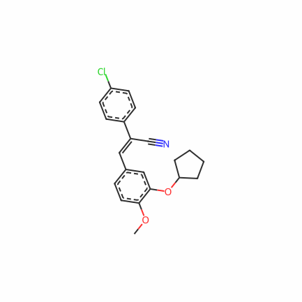 COc1ccc(C=C(C#N)c2ccc(Cl)cc2)cc1OC1CCCC1